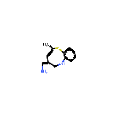 C/C1=C/C(=C/N)CNc2ccccc2S1